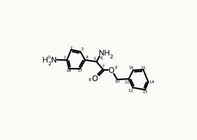 Nc1ccc(C(N)C(=O)OCc2ccccc2)cc1